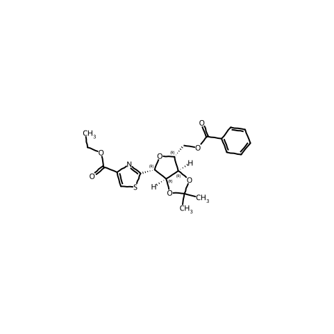 CCOC(=O)c1csc([C@@H]2O[C@H](COC(=O)c3ccccc3)[C@H]3OC(C)(C)O[C@H]32)n1